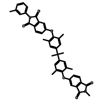 Cc1cccc(N2C(=O)c3ccc(Oc4c(C)cc(C(C)(C)c5cc(C)c(Oc6ccc7c(c6)C(=O)N(C)C7=O)c(C)c5)cc4C)cc3C2=O)c1